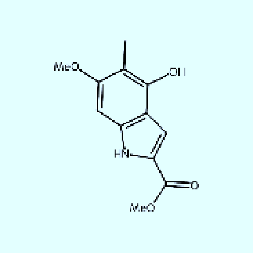 COC(=O)c1cc2c(O)c(C)c(OC)cc2[nH]1